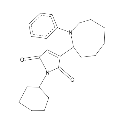 O=C1C=C(C2CCCCCCN2c2ccccc2)C(=O)N1C1CCCCC1